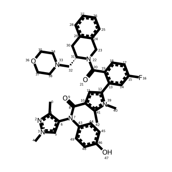 Cc1nn(C)cc1N(C(=O)c1cc(-c2cc(F)ccc2C(=O)N2Cc3ccccc3C[C@H]2CN2CCOCC2)n(C)c1C)c1ccc(O)cc1